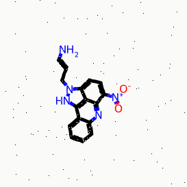 NC=CCN1Nc2c3ccccc3nc3c([N+](=O)[O-])ccc1c23